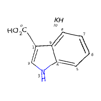 O=C(O)c1c[nH]c2ccccc12.[KH]